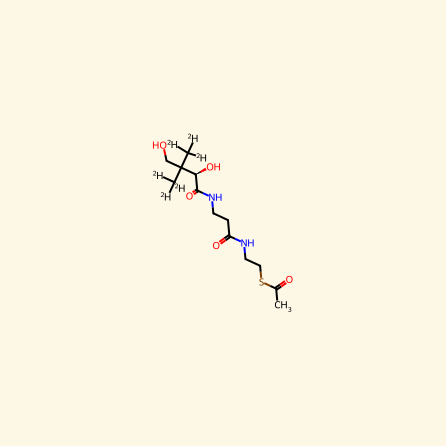 [2H]C([2H])([2H])C(CO)([C@@H](O)C(=O)NCCC(=O)NCCSC(C)=O)C([2H])([2H])[2H]